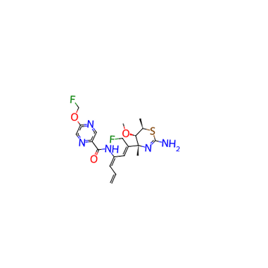 C=C/C=C(\C=C(/CF)[C@@]1(C)N=C(N)S[C@H](C)[C@@H]1OC)NC(=O)c1cnc(OCF)cn1